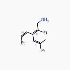 CC\C=C/C(/C=C(\C)C(C)C)=C(/CC)CN